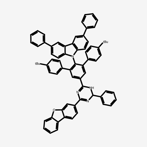 CC(C)(C)c1ccc(-c2cc(C3=NC(c4ccc5c(c4)oc4ccccc45)=NC(c4ccccc4)N3)cc(-c3ccc(C(C)(C)C)cc3)c2-n2c3ccc(-c4ccccc4)cc3c3cc(-c4ccccc4)ccc32)cc1